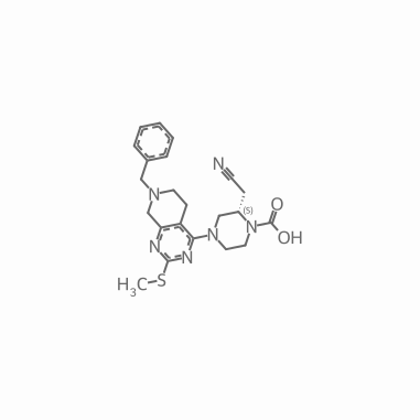 CSc1nc2c(c(N3CCN(C(=O)O)[C@@H](CC#N)C3)n1)CCN(Cc1ccccc1)C2